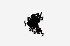 CSc1c2c3c(cccc3n1C)C1C[C@@H](COC(=O)N(C)C)CN(C)[C@@H]1C2.O=C(O)/C=C\C(=O)O